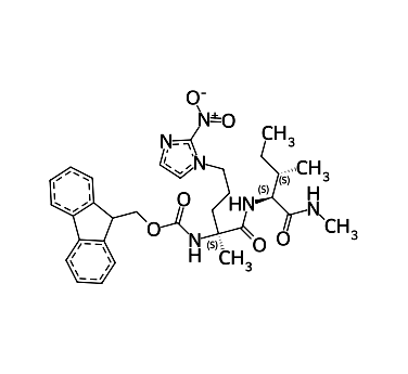 CC[C@H](C)[C@H](NC(=O)[C@](C)(CCCn1ccnc1[N+](=O)[O-])NC(=O)OCC1c2ccccc2-c2ccccc21)C(=O)NC